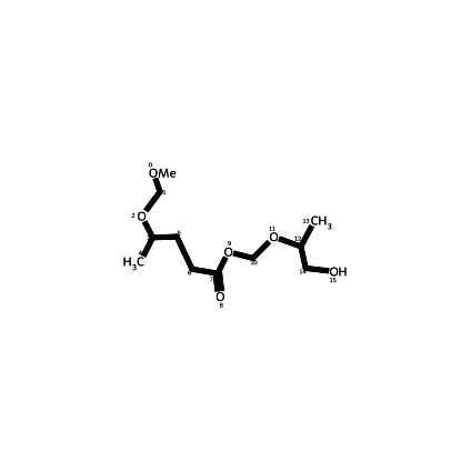 COCOC(C)CCC(=O)OCOC(C)CO